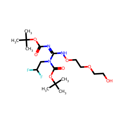 CC(C)(C)OC(=O)/N=C(/NOCCOCCO)N(CC(F)F)C(=O)OC(C)(C)C